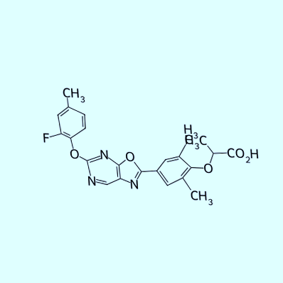 Cc1ccc(Oc2ncc3nc(-c4cc(C)c(OC(C)C(=O)O)c(C)c4)oc3n2)c(F)c1